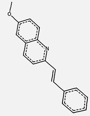 COc1ccc2nc(C=Cc3ccccc3)ccc2c1